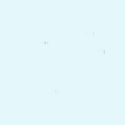 CC(=O)Oc1c(C)c(C)c(O)c(CCC(O)C#N)c1C